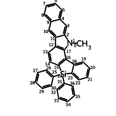 Cn1c2cc3ccccc3cc2c2ccc3c(c21)-c1ccccc1[Si]3(c1ccccc1)c1ccccc1